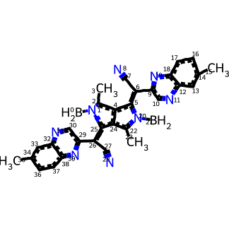 Bn1c(C)c2/c(=C(\C#N)c3cnc4cc(C)ccc4n3)n(B)c(C)c2/c1=C(\C#N)c1cnc2cc(C)ccc2n1